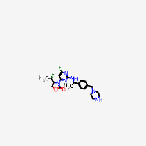 C[C@H](Nc1nc(F)cc(N2C(=O)OCC2[C@H](C)F)n1)c1ccc(CN2CCNCC2)cc1